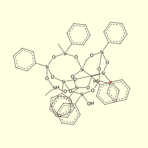 C[SiH]1O[Si]2(c3ccccc3)O[Si](C)(c3ccccc3)O[Si]34CO[Si]5(c6ccccc6)O[SiH](C)O[Si](O)(c6ccccc6)O[Si](c6ccccc6)(O2)O[Si](c2ccccc2)(O5)C3(c2ccccc2)O[Si](c2ccccc2)(O1)O4